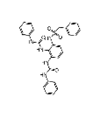 O=C(Nc1ccccc1)Nc1cccc(NS(=O)(=O)Cc2ccccc2)c1NC(=O)Nc1ccccc1